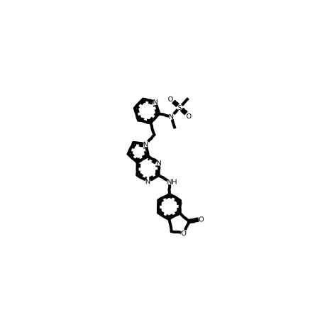 CN(c1ncccc1Cn1ccc2cnc(Nc3ccc4c(c3)C(=O)OC4)nc21)S(C)(=O)=O